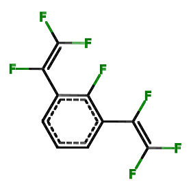 FC(F)=C(F)c1cccc(C(F)=C(F)F)c1F